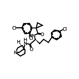 O=C(N[C@@H]1CN2CCC1CC2)[C@H](CCCc1ccc(Cl)cc1)NC(=O)C1(c2ccc(Cl)cc2Cl)CC1